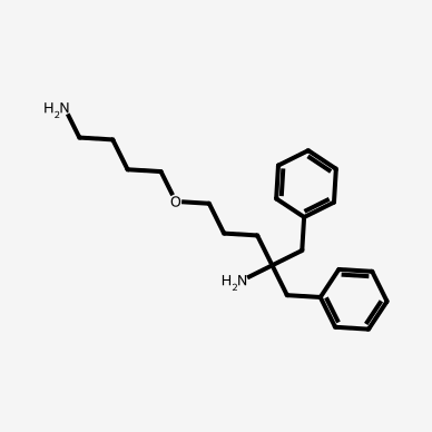 NCCCCOCCCC(N)(Cc1ccccc1)Cc1ccccc1